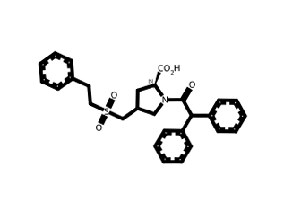 O=C(O)[C@@H]1CC(CS(=O)(=O)CCc2ccccc2)CN1C(=O)C(c1ccccc1)c1ccccc1